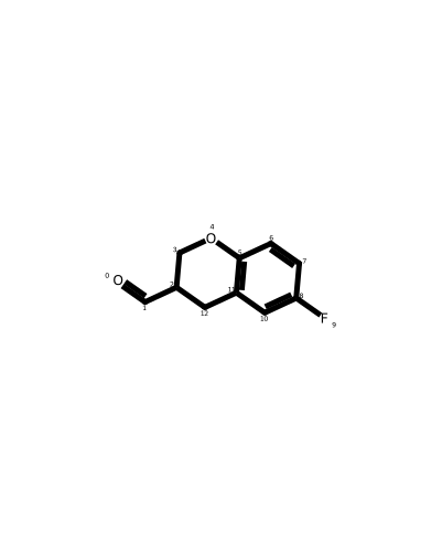 O=CC1COc2ccc(F)cc2C1